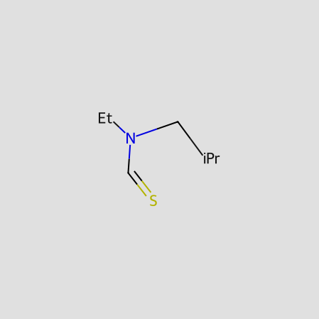 CCN(C=S)CC(C)C